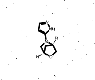 c1cc(N2C[C@H]3C[C@@H]2CO3)[nH]n1